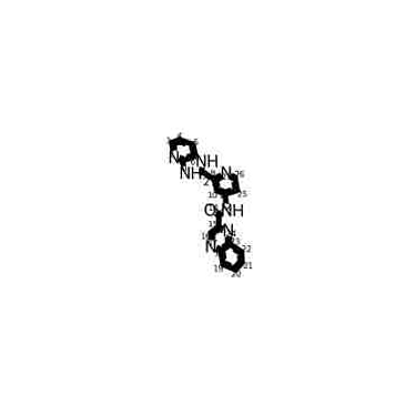 Nc1ncccc1NCc1cc(NC(=O)c2cnc3ccccc3n2)ccn1